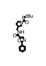 CC(C)(C)OC(=O)N1CCC(CNC(=O)c2cnc(-c3ccccc3)o2)C1